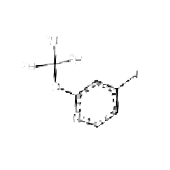 [2H]C([2H])([2H])Oc1cc(I)ccn1